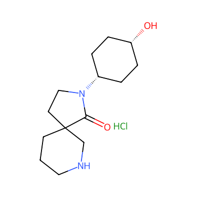 Cl.O=C1N([C@H]2CC[C@@H](O)CC2)CCC12CCCNC2